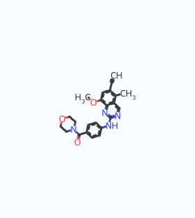 C#Cc1cc(OC)c2nc(Nc3ccc(C(=O)N4CCOCC4)cc3)ncc2c1C